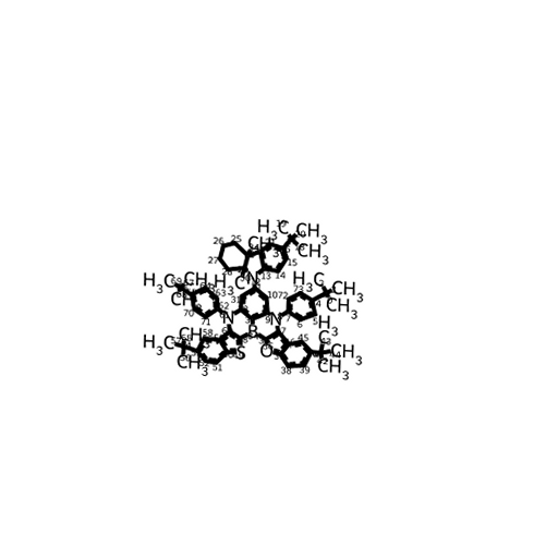 CC(C)(C)c1ccc(N2c3cc(N4c5ccc(C(C)(C)C)cc5C5(C)CCCCC45C)cc4c3B(c3oc5ccc(C(C)(C)C)cc5c32)c2sc3ccc(C(C)(C)C)cc3c2N4c2ccc(C(C)(C)C)cc2)cc1